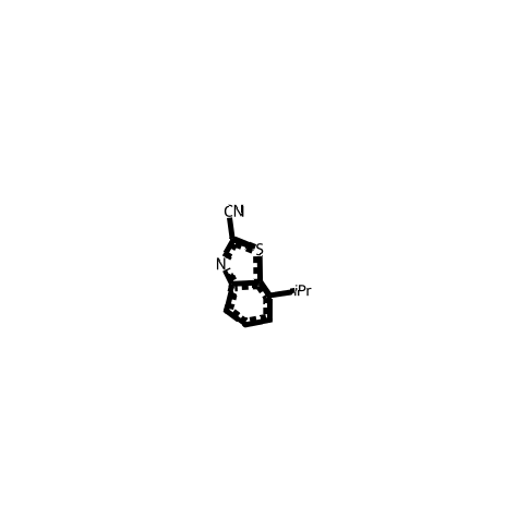 CC(C)c1cccc2nc(C#N)sc12